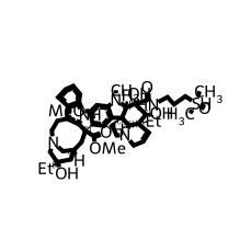 CC[C@@]1(O)C[C@@H]2CN(CCc3c([nH]c4ccccc34)[C@](C(=O)OC)(c3cc4c(cc3OC)N(C)[C@@H]3[C@](O)(C(=O)NCCC[SH](C)(C)=O)[C@@H](O)[C@@]5(CC)C=CCN6CC[C@@]43[C@H]65)C2)C1